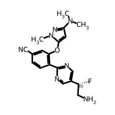 CN(C)c1cc(Oc2cc(C#N)ccc2-c2ncc([C@H](F)CN)cn2)n(C)n1